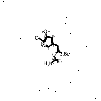 CC(C)(C)C(Cc1cnc(Cl)c(O)c1)OC(N)=O